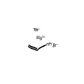 C=CCCC.[Br-].[Br-].[Mg+2]